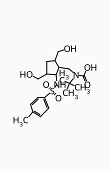 Cc1ccc(S(=O)(=O)NC2C(CO)CC(CO)C2CN(C(=O)O)C(C)(C)C)cc1